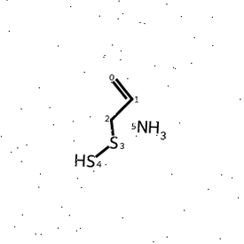 C=CCSS.N